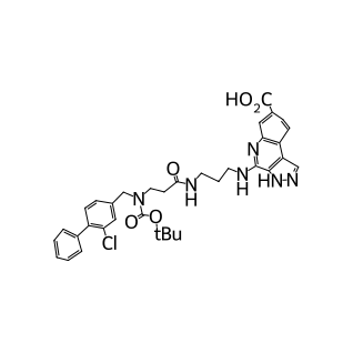 CC(C)(C)OC(=O)N(CCC(=O)NCCCNc1nc2cc(C(=O)O)ccc2c2cn[nH]c12)Cc1ccc(-c2ccccc2)c(Cl)c1